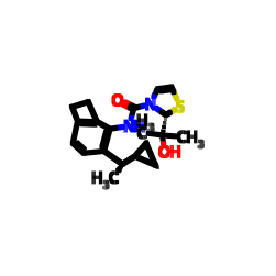 C[C@@H](c1ccc2c(c1NC(=O)N1C=CS[C@@H]1C(C)(C)O)CC2)C1CC1